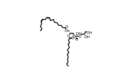 CCCC/C=C\C/C=C\CCCCCCCC(=O)OC[C@H](COP(=O)(O)OC[C@@H](O)CO)OC(=O)CCCCCCCCCCCC